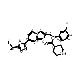 O=C(C1CCNCC1)N(Cc1cn2ccc(-c3nnc(C(F)F)o3)cc2n1)c1cccc(F)c1